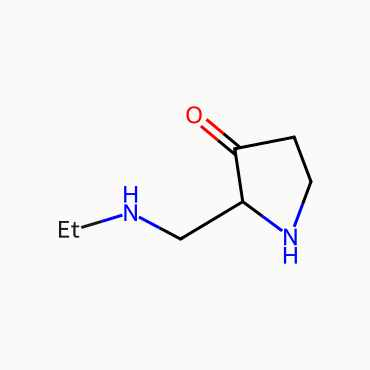 CCNCC1NCCC1=O